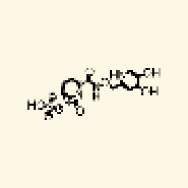 O=C(NOCC1=CC(O)C(O)=CN1)[C@@H]1CCC2CN1C(=O)N2OS(=O)(=O)O